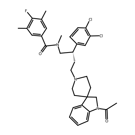 CC(=O)N1CC2(CCN(CC[C@H](CN(C)C(=O)c3cc(C)c(F)c(C)c3)c3ccc(Cl)c(Cl)c3)CC2)c2ccccc21